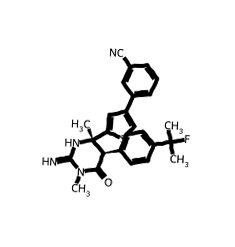 CN1C(=N)N[C@](C)(c2cc(-c3cccc(C#N)c3)cs2)[C@@H](c2ccc(C(C)(C)F)cc2)C1=O